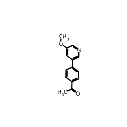 COc1cncc(-c2ccc(C(C)=O)cc2)c1